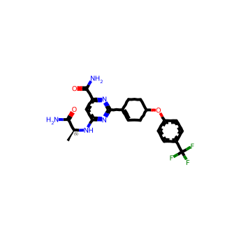 C[C@H](Nc1cc(C(N)=O)nc(C2=CCC(Oc3ccc(C(F)(F)F)cc3)CC2)n1)C(N)=O